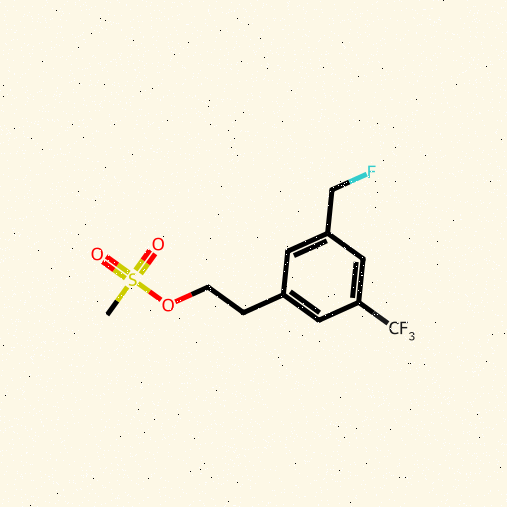 CS(=O)(=O)OCCc1cc(CF)cc(C(F)(F)F)c1